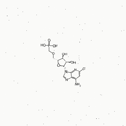 Nc1cc(Cl)nc2c1ncn2[C@@H]1O[C@H](COCP(=O)(O)O)[C@@H](O)[C@H]1O